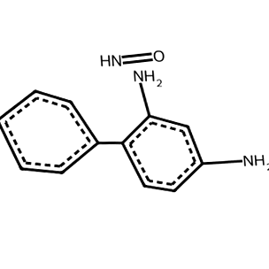 N=O.Nc1ccc(-c2ccccc2)c(N)c1